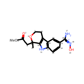 COC(=O)CC1(C)OCCc2c1[nH]c1ccc(/C(N)=N\O)cc21